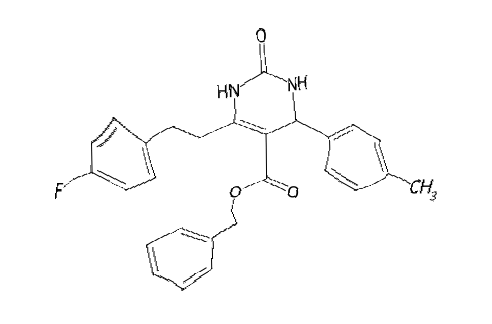 Cc1ccc(C2NC(=O)NC(CCc3ccc(F)cc3)=C2C(=O)OCc2ccccc2)cc1